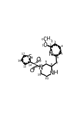 COc1cccc(CC2CN(S(=O)(=O)c3cccs3)CCN2)n1